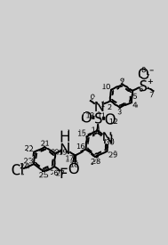 CN(c1ccc([S+](C)[O-])cc1)S(=O)(=O)c1cc(C(=O)Nc2ccc(Cl)cc2F)ccn1